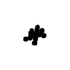 Cc1cc2c3c(c1)N(c1ccc(-c4ccccc4)cc1-c1ccc(C(C)(C)C)cc1)c1cc(-c4ccccc4)ccc1B3c1ccc(N(c3ccccc3)c3ccccc3)cc1N2c1ccc(C(C)(C)C)cc1